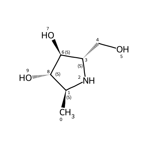 C[C@@H]1N[C@@H](CO)[C@H](O)[C@H]1O